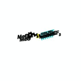 COc1ccc(CCCSCCC(F)(F)C(F)(F)C(F)(F)C(F)(F)C(F)(F)C(F)(F)C(F)(F)C(F)(F)F)cc1OC